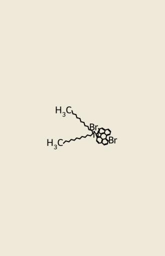 CCCCCCCCCCCCC(CCCCCCCCCCCC)n1c2ccc3ccc(Br)c4c5cccc6cc(Br)c1c(c65)c2c34